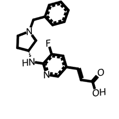 O=C(O)C=Cc1cnc(N[C@@H]2CCN(Cc3ccccc3)C2)c(F)c1